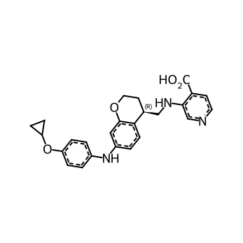 O=C(O)c1ccncc1NC[C@@H]1CCOc2cc(Nc3ccc(OC4CC4)cc3)ccc21